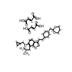 CN(C)Cc1c(OCC2CC2)ccc2c(CCC3CCN(CC4OCCCO4)CC3)noc12.O=C(O)/C=C/C(=O)O.O=C(O)/C=C/C(=O)O